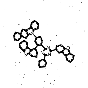 c1ccc(-c2nc(-c3ccc4oc5ccccc5c4c3)nc(-c3ccc(-n4c5ccccc5c5cc6ccccc6cc54)cc3-c3cccc4sc5ccccc5c34)n2)cc1